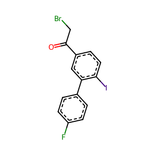 O=C(CBr)c1ccc(I)c(-c2ccc(F)cc2)c1